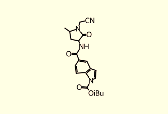 CC(C)COC(=O)n1ccc2cc(C(=O)NC3CC(C)N(CC#N)C3=O)ccc21